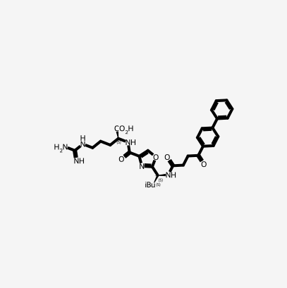 CC[C@H](C)[C@H](NC(=O)CCC(=O)c1ccc(-c2ccccc2)cc1)c1nc(C(=O)N[C@@H](CCCNC(=N)N)C(=O)O)co1